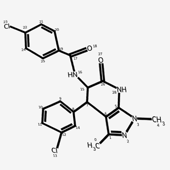 Cc1nn(C)c2c1C(c1cccc(Cl)c1)C(NC(=O)c1ccc(Cl)cc1)C(=O)N2